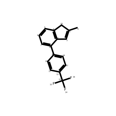 CC1=Cc2c(cccc2-c2ccc(C(F)(F)F)cc2)[CH]1